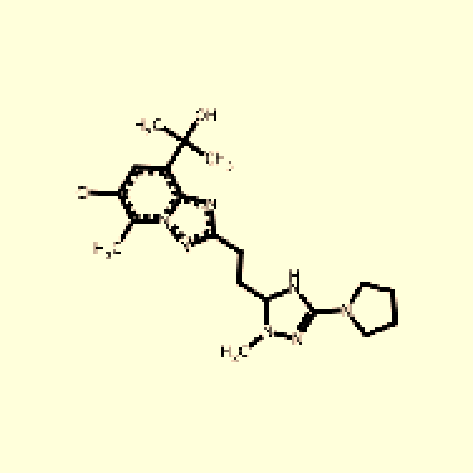 Cc1c(Cl)cc(C(C)(C)O)c2nc(CCC3NC(N4CCCC4)=NN3C)nn12